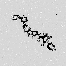 Cc1c(C(=O)Nc2ccc(-c3nc(-c4ccnc(N5CCOCC5)c4)cnc3N)cc2)c(=O)n(-c2ccncc2)n1C